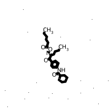 CCCCCC(=O)O/N=C(\CCCC)C(=O)c1ccc(NC(=O)C2CCCCC2)cc1